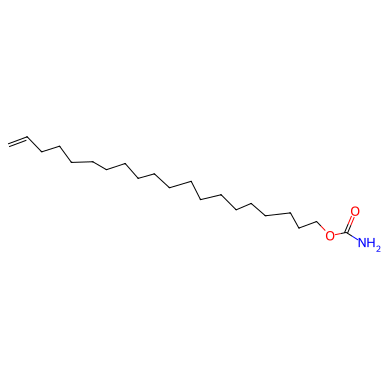 C=CCCCCCCCCCCCCCCCCCCOC(N)=O